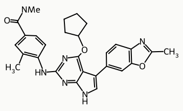 CNC(=O)c1ccc(Nc2nc(OC3CCCC3)c3c(-c4ccc5nc(C)oc5c4)c[nH]c3n2)c(C)c1